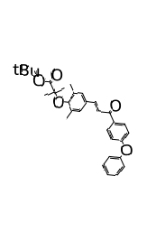 Cc1cc(C=CC(=O)c2ccc(Oc3ccccc3)cc2)cc(C)c1OC(C)(C)C(=O)OC(C)(C)C